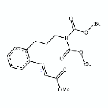 COC(=O)/C=C/c1ccccc1CCCN(C(=O)OC(C)(C)C)C(=O)OC(C)(C)C